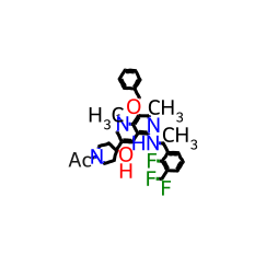 CC(=O)N1CCC(O)(C2=Cc3c(N[C@H](C)c4cccc(C(F)F)c4F)nc(C)c(OCc4ccccc4)c3N(C)C2)CC1